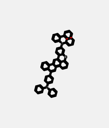 c1ccc(-c2ccccc2N(c2ccccc2)c2ccc3c(c2)Oc2cccc4c2c-3cc2c3ccccc3c(-c3ccc(N(c5ccccc5)c5ccccc5)cc3)cc42)cc1